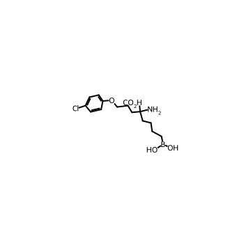 NC(CCCCB(O)O)(CCCOc1ccc(Cl)cc1)C(=O)O